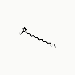 CCCCCCCCCCCCCn1ccnc1Br